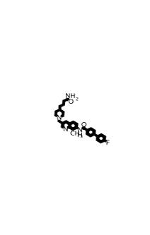 Cc1c(NC(=O)c2ccc(-c3ccc(F)cc3)cc2)ccc2cc(CN3CCC(CCCC(N)=O)CC3)cnc12